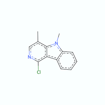 Cc1cnc(Cl)c2c3ccccc3n(C)c12